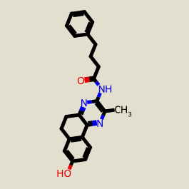 Cc1nc2c(nc1NC(=O)CCCc1ccccc1)CCc1cc(O)ccc1-2